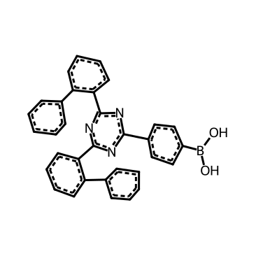 OB(O)c1ccc(-c2nc(-c3ccccc3-c3ccccc3)nc(-c3ccccc3-c3ccccc3)n2)cc1